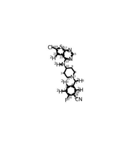 [2H]c1c([2H])c(C([2H])N2CCC(N([2H])c3ncnc4sc(Cl)c([2H])c34)CC2)c([2H])c(C#N)c1F